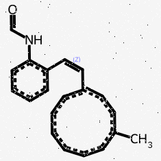 Cc1ccccccc(/C=C\c2ccccc2NC=O)cc1